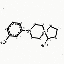 Oc1cccc(N2CC[N+]3(CCCC3Br)CC2)c1